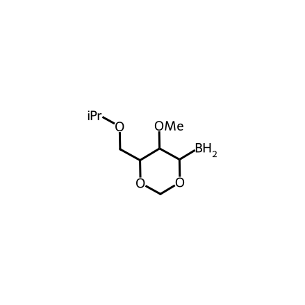 BC1OCOC(COC(C)C)C1OC